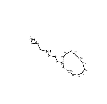 NCCCNCCCN1CCCCCCCCCCCC1